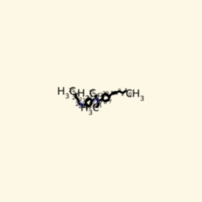 CCCCC#Cc1ccc(/C(CC)=C(\CC)c2ccc(/C=C\CCCC)cc2)cc1